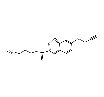 C#CCOc1ccc2cc(C(=O)CCCCC(=O)O)ccc2c1